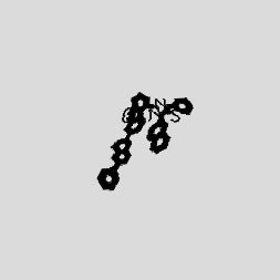 c1ccc(-c2ccc3cc(-c4ccc5c(c4)oc4cccc(-c6nc(-c7ccc8ccccc8c7)c7sc8ccccc8c7n6)c45)ccc3c2)cc1